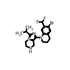 CC(C)c1nc(N2CCCc3cc(Br)c(C(F)F)cc32)c2n1CCNC2